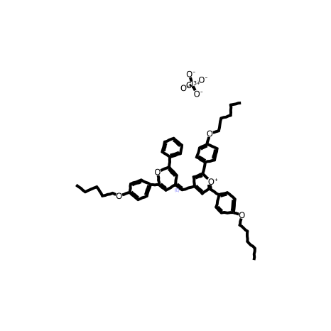 CCCCCOc1ccc(C2=C/C(=C/c3cc(-c4ccc(OCCCCC)cc4)[o+]c(-c4ccc(OCCCCC)cc4)c3)C=C(c3ccccc3)O2)cc1.[O-][Cl+3]([O-])([O-])[O-]